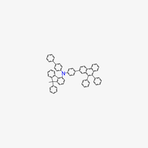 CC1(c2ccccc2)c2ccccc2-c2c(N(c3ccc(-c4ccccc4)cc3)c3ccc(-c4ccc5c(c4)c(-c4ccccc4)c(-c4ccccc4)c4ccccc45)cc3)cccc21